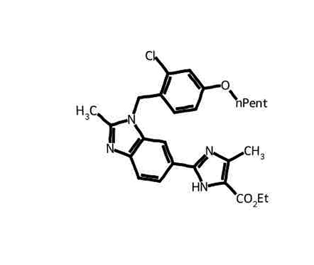 CCCCCOc1ccc(Cn2c(C)nc3ccc(-c4nc(C)c(C(=O)OCC)[nH]4)cc32)c(Cl)c1